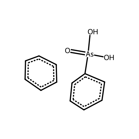 O=[As](O)(O)c1ccccc1.c1ccccc1